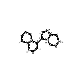 c1ccc2c(-c3nnc4cnccn34)ccnc2c1